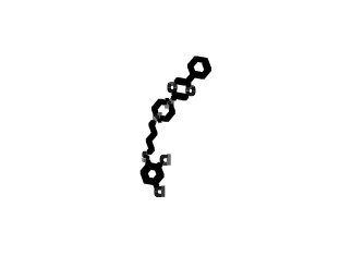 Clc1ccc(SCCCCN2CCN(C3=COC(C4=CC=CCC4)=CO3)CC2)c(Cl)c1